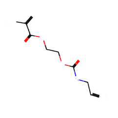 C=CCNC(=O)OCCOC(=O)C(=C)C